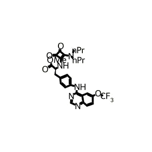 CCCN(CCC)c1c(N[C@@H](Cc2ccc(Nc3ncnc4ccc(OC(F)(F)F)cc34)cc2)C(=O)OC)c(=O)c1=O